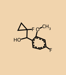 COc1cc(F)ccc1C(O)C1(F)CC1